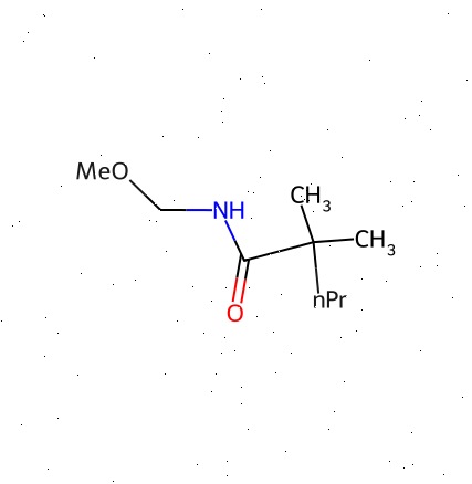 CCCC(C)(C)C(=O)NCOC